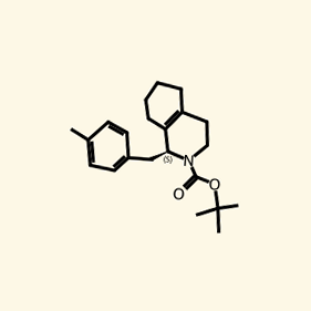 Cc1ccc(C[C@H]2C3=C(CCCC3)CCN2C(=O)OC(C)(C)C)cc1